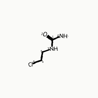 [NH]C(=O)NCCCl